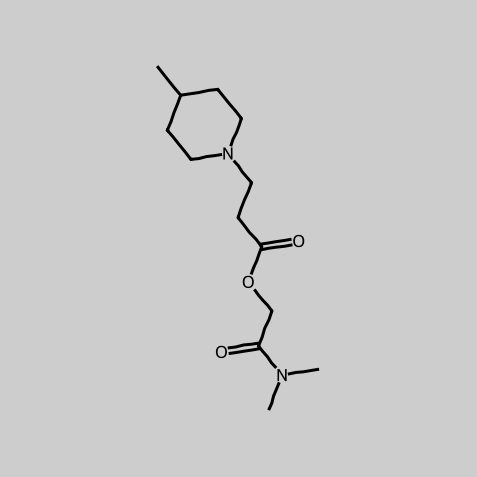 CC1CCN(CCC(=O)OCC(=O)N(C)C)CC1